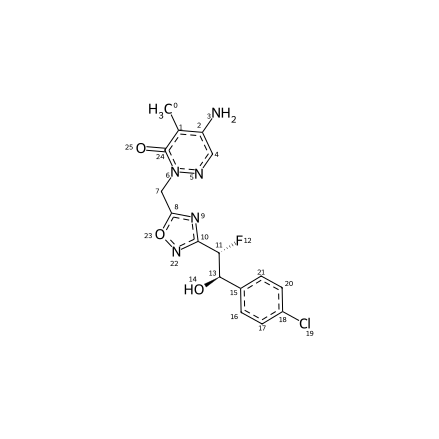 Cc1c(N)cnn(Cc2nc([C@H](F)[C@H](O)c3ccc(Cl)cc3)no2)c1=O